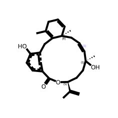 C=C(C)[C@@H]1CC[C@](C)(O)/C=C\C[C@]2(C)C=CCC(C)=C2Cc2cc(ccc2O)C(=O)O1